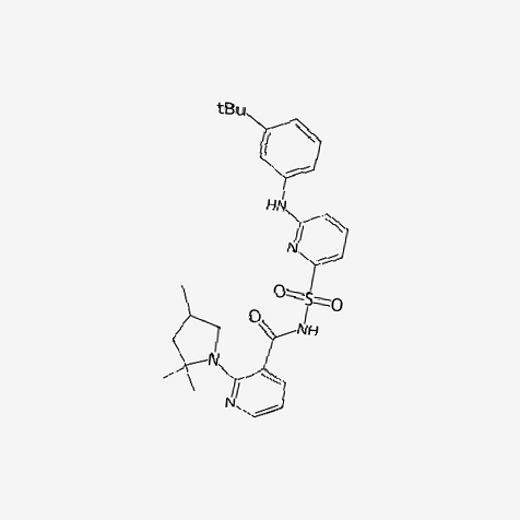 CC1CN(c2ncccc2C(=O)NS(=O)(=O)c2cccc(Nc3cccc(C(C)(C)C)c3)n2)C(C)(C)C1